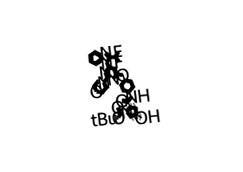 CC(C)(C)OC(=O)N1C[C@H](O)C[C@H]1C(=O)N[C@H]1CC[C@H](Oc2cc(-n3c(C(F)F)nc4ccccc43)nc(N3CCOCC3)n2)CC1